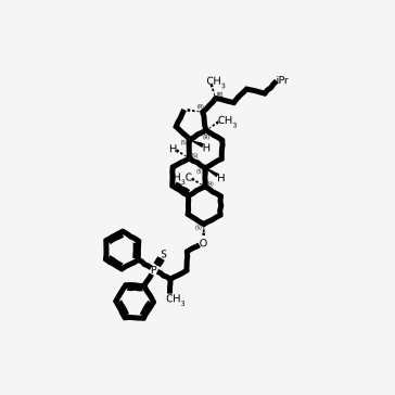 CC(C)CCC[C@@H](C)[C@H]1CC[C@H]2[C@@H]3CC=C4C[C@@H](OCCC(C)P(=S)(c5ccccc5)c5ccccc5)CC[C@]4(C)[C@H]3CC[C@]12C